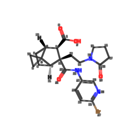 O=C(O)[C@@H]1[C@H]2CC[C@@H](C23CC3)[C@@]1(CCN1CCCC1=O)C(=O)Nc1ccc(Br)nc1